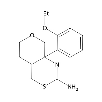 CCOc1ccccc1C12COCCC1CSC(N)=N2